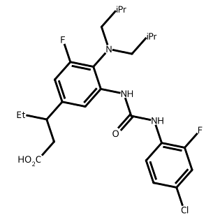 CCC(CC(=O)O)c1cc(F)c(N(CC(C)C)CC(C)C)c(NC(=O)Nc2ccc(Cl)cc2F)c1